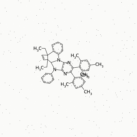 CCC12C=CC1(CC)C1N(c3ccccc3)c3nc(-c4c(C)cc(C)cc4C)c(-c4c(C)cc(C)cc4C)nc3N1c1ccccc12